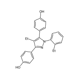 CCc1ccccc1-n1nc(-c2ccc(O)cc2)c(CC)c1-c1ccc(O)cc1